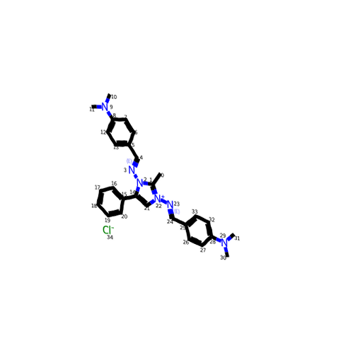 Cc1n(/N=C/c2ccc(N(C)C)cc2)c(-c2ccccc2)c[n+]1/N=C/c1ccc(N(C)C)cc1.[Cl-]